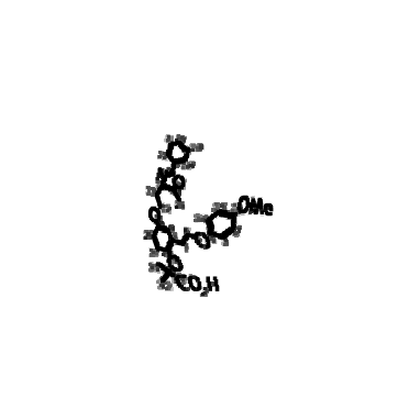 COc1ccc(OCCc2cc(OCCc3nc(-c4ccccc4)oc3C)ccc2OC(C)(C)C(=O)O)cc1